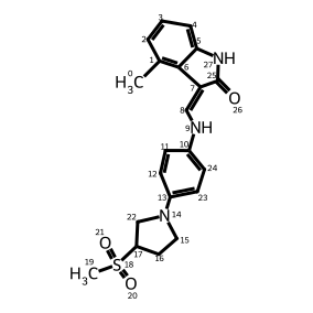 Cc1cccc2c1C(=CNc1ccc(N3CCC(S(C)(=O)=O)C3)cc1)C(=O)N2